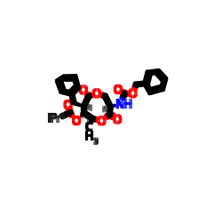 CC(C)C(=O)O[C@H]1[C@H](C)OC(=O)[C@@H](NC(=O)OCc2ccccc2)COC(=O)[C@@H]1Cc1ccccc1